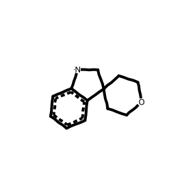 c1ccc2c(c1)[N]CC21CCOCC1